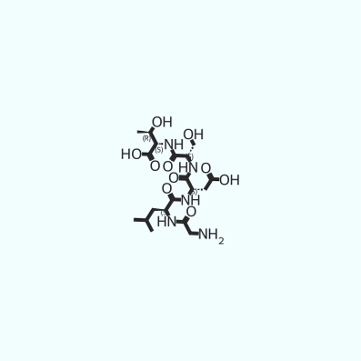 CC(C)C[C@H](NC(=O)CN)C(=O)N[C@@H](CC(=O)O)C(=O)N[C@@H](CO)C(=O)N[C@H](C(=O)O)[C@@H](C)O